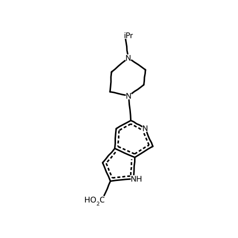 CC(C)N1CCN(c2cc3cc(C(=O)O)[nH]c3cn2)CC1